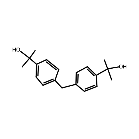 CC(C)(O)c1ccc(Cc2ccc(C(C)(C)O)cc2)cc1